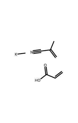 C=C(C)C#N.C=CC(=O)O.[CH3][K]